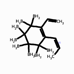 BC1(B)C(C=C)=C(/C=C\C)C(B)(B)C(B)(B)C1(B)B